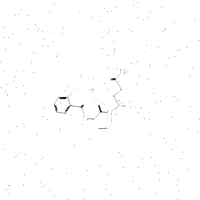 CC(C)C[C@H](NC(=O)c1ccccc1C(=O)O)C(=O)N[C@@H](CCC(N)=O)C(=O)O